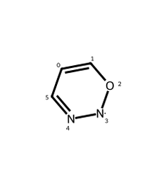 C1=CO[N]N=C1